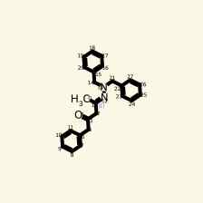 C/C(CC(=O)Cc1ccccc1)=N\N(Cc1ccccc1)Cc1ccccc1